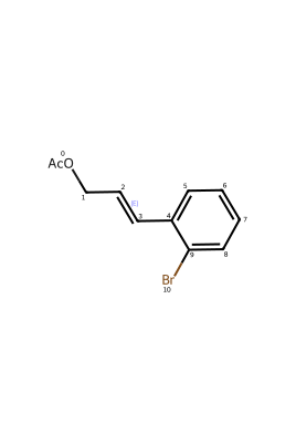 CC(=O)OC/C=C/c1ccccc1Br